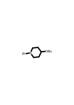 CC(C)COC1CCN(C(C)C)CC1